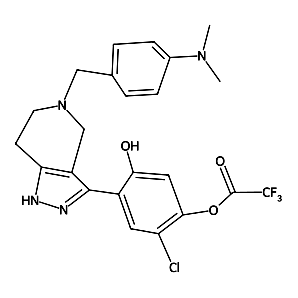 CN(C)c1ccc(CN2CCc3[nH]nc(-c4cc(Cl)c(OC(=O)C(F)(F)F)cc4O)c3C2)cc1